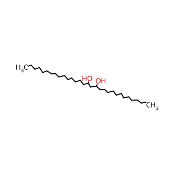 CCCCCCCCCCCCCCCC(O)CC(O)CCCCCCCCCCCCC